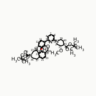 CO[C@@H]1CN(c2cccc(-c3cccc(C)c3OCc3ccc4c(c3C)CCN(C(=O)OC(C)(C)C)CC4)n2)CC[C@H]1C(=O)OC(C)(C)C